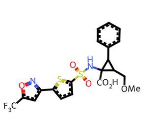 COCC1C(c2ccccc2)C1(NS(=O)(=O)c1ccc(-c2cc(C(F)(F)F)on2)s1)C(=O)O